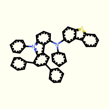 c1ccc(-c2cc(-c3ccccc3)c3c(c2)c2c(N(c4ccccc4)c4ccc5sc6ccccc6c5c4)cccc2n3-c2ccccc2)cc1